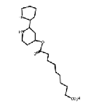 O=C(O)CCCCCCCCC(=O)OC1CCNC(C2CCCCN2)C1